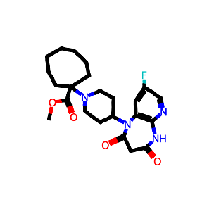 COC(=O)C1(N2CCC(N3C(=O)CC(=O)Nc4ncc(F)cc43)CC2)CCCCCCC1